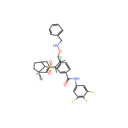 CC(CONCc1ccccc1)C(C)C1=C[C@@H]2CCC(C1)C2S(=O)(=O)c1cc(C(=O)Nc2cc(F)c(F)c(F)c2)ccc1Cl